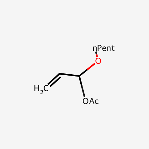 C=CC(OCCCCC)OC(C)=O